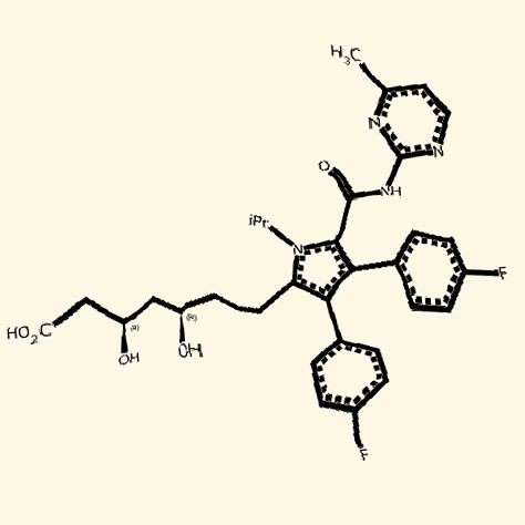 Cc1ccnc(NC(=O)c2c(-c3ccc(F)cc3)c(-c3ccc(F)cc3)c(CC[C@@H](O)C[C@@H](O)CC(=O)O)n2C(C)C)n1